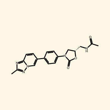 CC(=O)NC[C@H]1CN(c2ccc(-c3ccc4nc(C)nn4c3)cc2)C(=O)O1